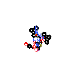 COc1ccc(COC(=O)C2=C(CI)CS[C@@H]3[C@H](NC(=O)/C(=N\OC(c4ccccc4)(c4ccccc4)c4ccccc4)c4csc(NC(c5ccccc5)(c5ccccc5)c5ccccc5)n4)C(=O)N23)cc1